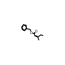 CC/C(C)=C\C(=O)OCc1ccccc1